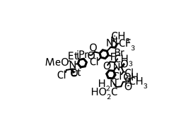 CC(C)OC(=O)c1cc(-c2nn(C)c(C(F)(F)F)c2Br)c(F)cc1Cl.CC1COc2ccccc2N1C(=O)C(Cl)Cl.CCc1cccc(CC)c1N(COC)C(=O)CCl.CP(=O)(O)CCC(N)C(=O)O